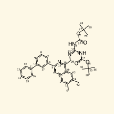 Cc1cc2cc(-c3cccc(-c4ccccc4)c3)nc(CN=C(NC(=O)OC(C)(C)C)NC(=O)OC(C)(C)C)c2cc1C